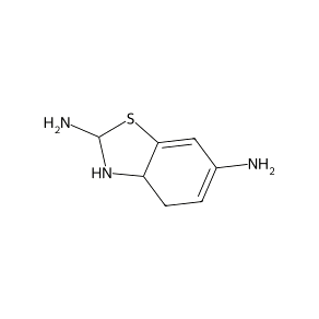 NC1=CCC2NC(N)SC2=C1